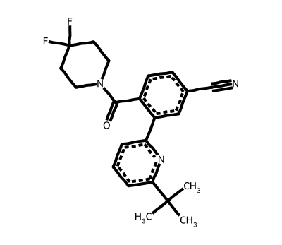 CC(C)(C)c1cccc(-c2cc(C#N)ccc2C(=O)N2CCC(F)(F)CC2)n1